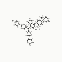 C[n+]1ccc(-c2ccc(N(c3ccc(-c4cc[n+](C)cc4)cc3)c3cc4c(c5ccccc35)-c3cc5c(cc3C4(C)C)-c3ccccc3C5(C)C)cc2)cc1